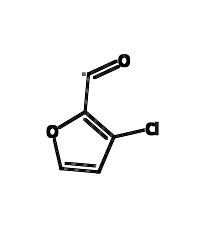 O=[C]c1occc1Cl